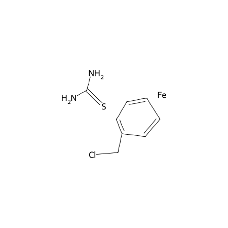 ClCc1ccccc1.NC(N)=S.[Fe]